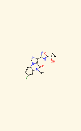 CC(C)n1c(=O)c2c(-c3noc(C4(O)CC4)n3)ncn2c2ccc(F)cc21